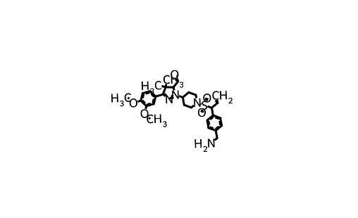 C=CC(c1ccc(CN)cc1)S(=O)(=O)N1CCC(N2N=C(c3ccc(OC)c(OC)c3)C(C)(C)C2C=O)CC1